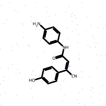 N#C/C(=C/C(=O)Nc1ccc(N)cc1)c1ccc(O)cc1